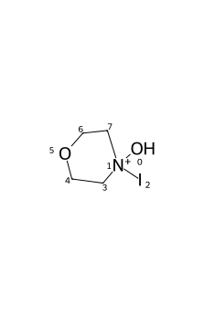 O[N+]1(I)CCOCC1